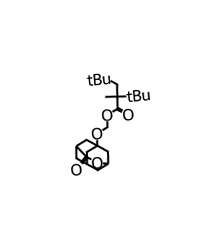 CC(C)(C)CC(C)(C(=O)OCOC12CC3CC(C1)OC(=O)C(C3)C2)C(C)(C)C